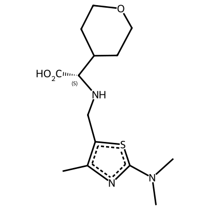 Cc1nc(N(C)C)sc1CN[C@H](C(=O)O)C1CCOCC1